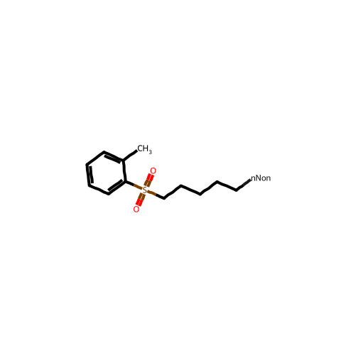 CCCCCCCCCCCCCCS(=O)(=O)c1ccccc1C